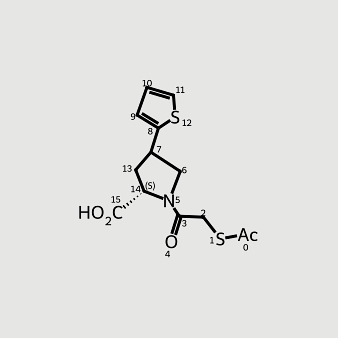 CC(=O)SCC(=O)N1CC(c2cccs2)C[C@H]1C(=O)O